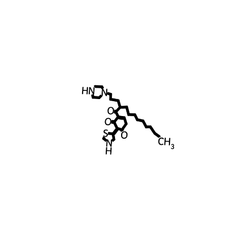 CCCCCCCCCCC(CCCN1CCNCC1)C(=O)C1=CCC(=O)C(=C2CNCS2)C1=O